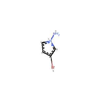 Nn1ccc(Br)c1